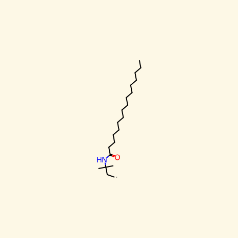 [CH2]CC(C)(C)NC(=O)CCCCCCCCCCCCCCC